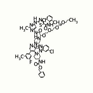 CCCOCCOCCOCCOC(C(=O)Nc1cc(Nc2ncc(C(=O)Nc3c(C)cccc3Cl)s2)nc(C)n1)N1CCN(c2ncc(-c3cc(C)cc(F)c3)c(N3CCC(NC(=O)OCc4ccccc4)CC3)c2-c2nc3cc(Cl)ccc3[nH]2)CC1